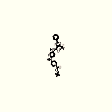 CC(C)(C)COC(=O)N1CCC(Nc2ccc(NC(=O)c3nc(-c4ccccc4)oc3C(F)(F)F)cn2)CC1